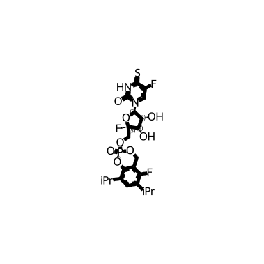 CC(C)c1cc(C(C)C)c2c(c1F)COP(=O)(OC[C@@]1(F)O[C@@H](n3cc(F)c(=S)[nH]c3=O)[C@H](O)[C@@H]1O)O2